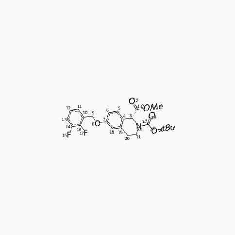 COC(=O)[C@H]1c2ccc(OCc3cccc(F)c3F)cc2CCN1C(=O)OC(C)(C)C